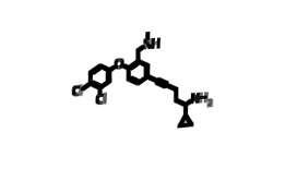 CNCc1cc(C#CCCC(N)C2CC2)ccc1Oc1ccc(Cl)c(Cl)c1